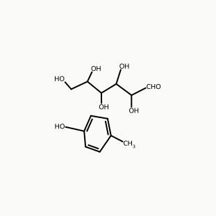 Cc1ccc(O)cc1.O=CC(O)C(O)C(O)C(O)CO